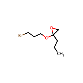 CCCC1(OCCCBr)CO1